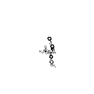 CC(C)(C)OC=O.CN1CCN(c2ccc(C(=O)Nc3nn4c5cc(OCc6ccccc6)cc4c35)cc2)CC1